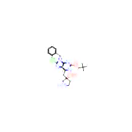 CC(C)(C)COc1nc(CC2(O)CCNC2)c2ncn(Cc3ccccc3Cl)c2n1